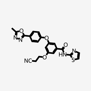 Cc1nnc(-c2ccc(Oc3cc(OCCC#N)cc(C(=O)Nc4nccs4)c3)cc2)o1